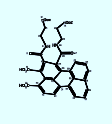 CCCCCCCCCCCCNC(=O)c1c(C(=O)O)c2c(C(=O)O)ccc3c4cccc5cccc(c(c1C(=O)NCCCCCCCCCCCC)c23)c54